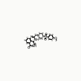 COc1ccc(S(=O)(=O)N2CCN(CC3=Nc4cccc5c(=O)[nH]nc(c45)N3)CC2)cc1